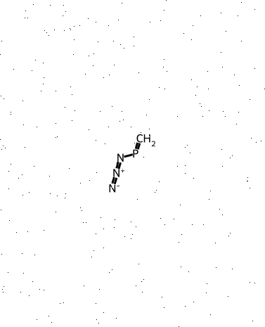 C=PN=[N+]=[N-]